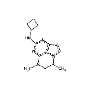 CC1CN(C)c2nc(NC3CCC3)nc3ccn1c23